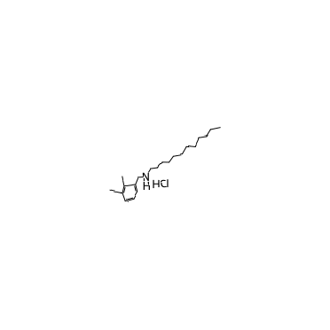 CCCCCCCCCCCCNCc1cccc(C)c1C.Cl